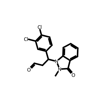 Cn1c(=O)c2ccccc2n1C(CC=O)c1ccc(Cl)c(Cl)c1